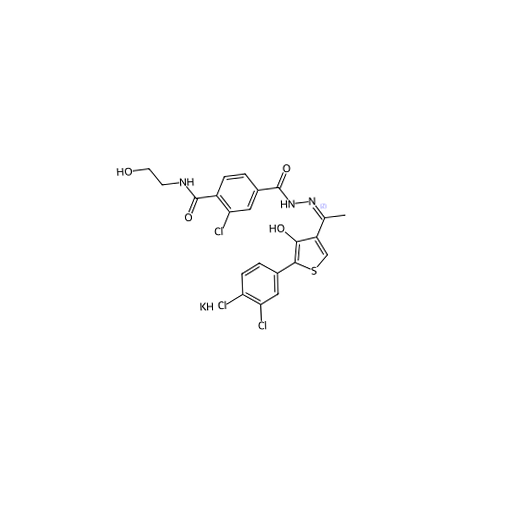 C/C(=N/NC(=O)c1ccc(C(=O)NCCO)c(Cl)c1)c1csc(-c2ccc(Cl)c(Cl)c2)c1O.[KH]